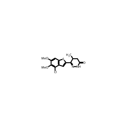 COc1cc2sc(C3=NNC(=O)CC3C)cc2c(Cl)c1OC